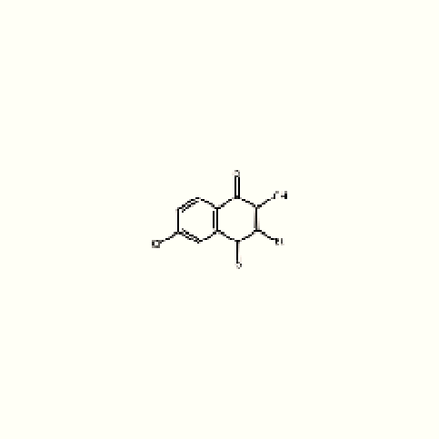 CCC1=C(O)C(=O)c2ccc(Cl)cc2C1=O